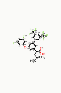 CC(C)CC(C(=O)O)c1cc(Oc2cc(F)cc(F)c2)cc(-c2cc(C(F)(F)F)cc(C(F)(F)F)c2)c1